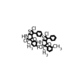 CC1(c2ccc(F)cc2)C(=O)Nc2sc(Cl)c(-c3ccccc3)c2C1=O.Cc1cccc(C2(C)C(=O)Nc3sc(Cl)c(-c4ccccc4)c3C2=O)c1